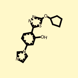 Oc1cc(-n2ccnc2)ccc1-c1nnc(OC2CCCC2)s1